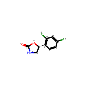 O=C1NC[C@@H](c2ccc(F)cc2F)O1